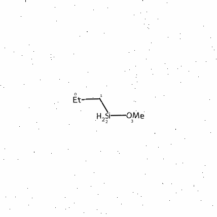 CCC[SiH2]OC